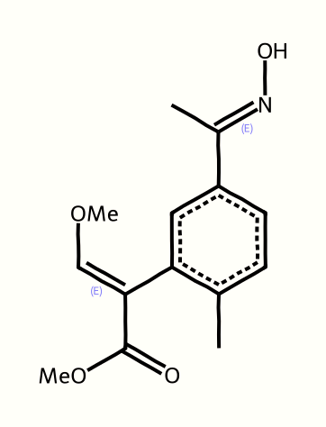 CO/C=C(/C(=O)OC)c1cc(/C(C)=N/O)ccc1C